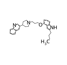 CCCCc1cc2c(OCCCN3CCC(c4cnc5ccccc5c4)CC3)cccc2[nH]1